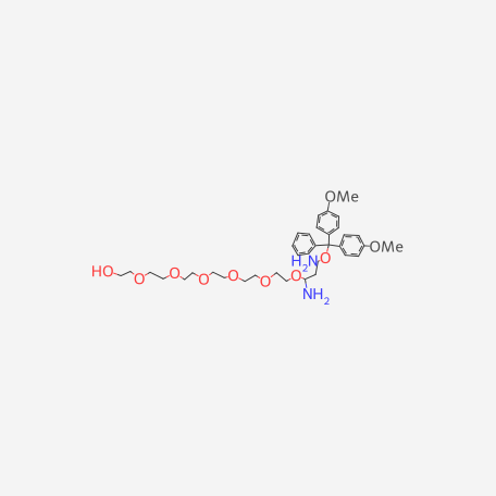 COc1ccc(C(OC(N)CC(N)OCCOCCOCCOCCOCCOCCO)(c2ccccc2)c2ccc(OC)cc2)cc1